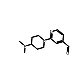 CN(C)C1CCN(c2cc(C=O)ccn2)CC1